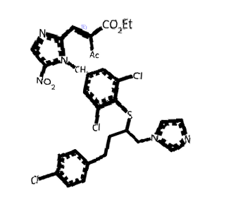 CCOC(=O)/C(=C/c1ncc([N+](=O)[O-])n1C)C(C)=O.Clc1ccc(CCC(Cn2ccnc2)Sc2c(Cl)cccc2Cl)cc1